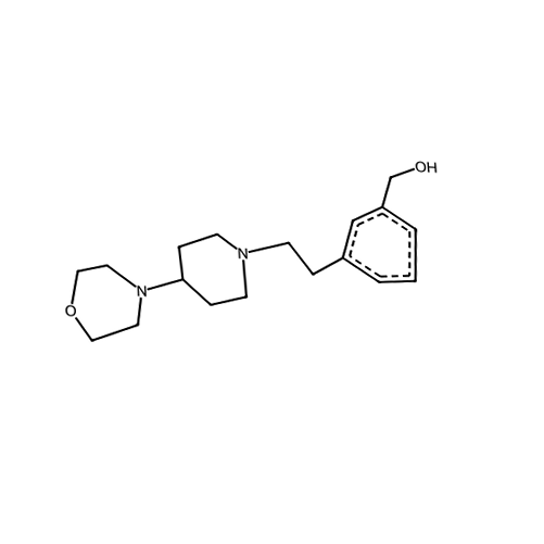 OCc1cccc(CCN2CCC(N3CCOCC3)CC2)c1